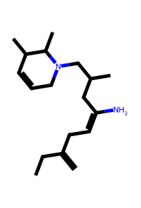 C=C(CC)C/C=C(/N)CC(C)CN1CC=CC(C)C1C